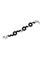 CCCCCC1CCC(CCCOC2CCC(CC[C@H]3CC[C@H](CCC)CC3)CC2)CC1